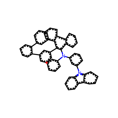 c1ccc(-c2ccccc2-c2cccc(-c3c(N(c4ccccc4)c4cccc(-n5c6ccccc6c6ccccc65)c4)c4ccccc4c4ccccc34)c2)cc1